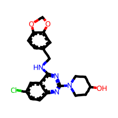 OC1CCN(c2nc(NCc3ccc4c(c3)OCO4)c3cc(Cl)ccc3n2)CC1